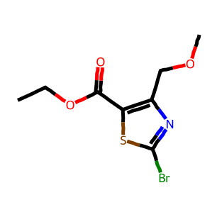 CCOC(=O)c1sc(Br)nc1COC